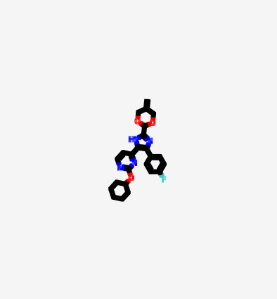 C=C1COC(c2nc(-c3ccc(F)cc3)c(-c3ccnc(OC4CCCCC4)n3)[nH]2)OC1